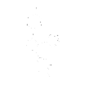 Oc1ccc(-c2noc(-c3ccc(O)cc3)c2-c2ccsc2)cc1